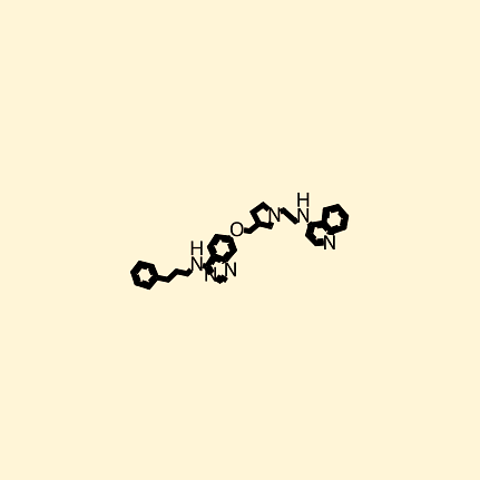 c1ccc(CCCNc2ncnc3cc(OCC4CCN(CCNc5ccnc6ccccc56)C4)ccc23)cc1